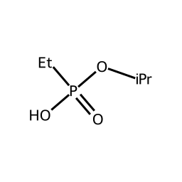 CCP(=O)(O)OC(C)C